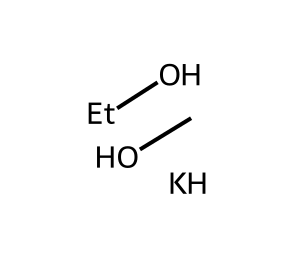 CCO.CO.[KH]